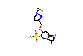 Cn1ccc(COc2cc3ncc(I)n3cc2S(=O)(=O)C(C)(C)C)n1